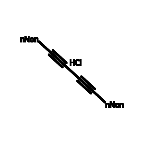 CCCCCCCCCC#CC#CCCCCCCCCC.Cl